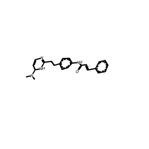 CN(C)C1[C]=CN=C(CCc2ccc(NC(=O)/C=C/c3ccccc3)cc2)N1